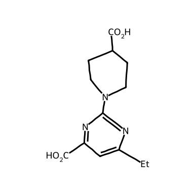 CCc1cc(C(=O)O)nc(N2CCC(C(=O)O)CC2)n1